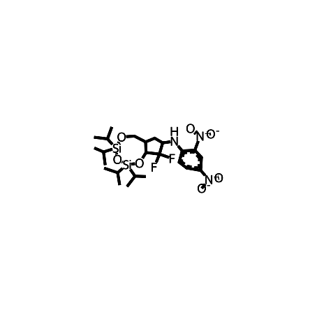 CC(C)[Si]1(C(C)C)OCC2CC(Nc3ccc([N+](=O)[O-])cc3[N+](=O)[O-])C(F)(F)C2O[Si](C(C)C)(C(C)C)O1